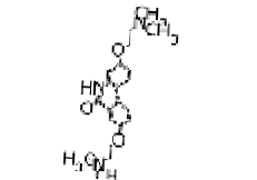 CN(C)CCOc1ccc2c(c1)[nH]c(=O)c1cc(OCCN(C)C)ccc12